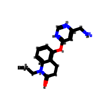 CCOC(=O)CN1C(=O)CCc2c(Oc3cc(CN)ncn3)cccc21